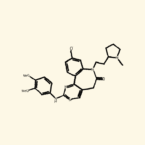 COc1ccc(Nc2ncc3c(n2)-c2ccc(Cl)cc2N(CCC2CCCN2C)C(=O)C3)cc1OC